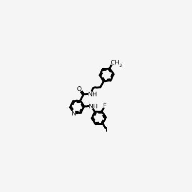 Cc1ccc(CCNC(=O)c2ccncc2Nc2ccc(I)cc2F)cc1